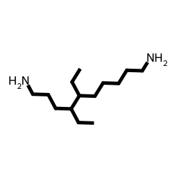 CCC(CCCN)C(CC)CCCCCN